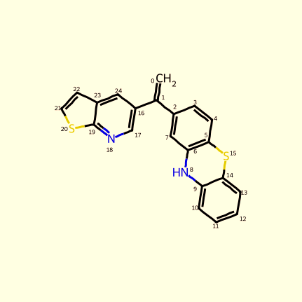 C=C(c1ccc2c(c1)Nc1ccccc1S2)c1cnc2sccc2c1